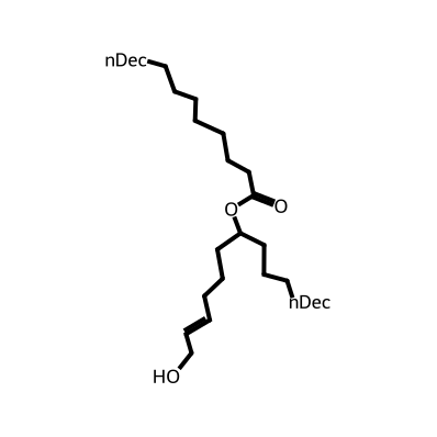 CCCCCCCCCCCCCCCCCC(=O)OC(CCCC=CCO)CCCCCCCCCCCCC